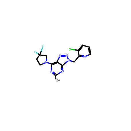 CC(C)(C)c1nc(N2CCC(F)(F)C2)c2nnn(Cc3ncccc3Cl)c2n1